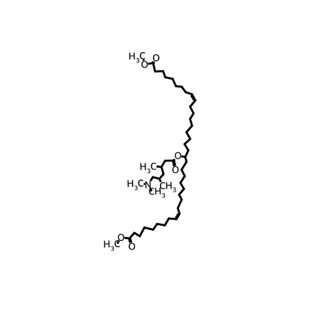 COC(=O)CCCCCCC/C=C\CCCCCCCCC(CCCCCCCC/C=C\CCCCCCCC(=O)OC)OC(=O)CC(C)CC(C)CN(C)C